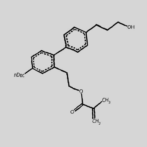 C=C(C)C(=O)OCCc1cc(CCCCCCCCCC)ccc1-c1ccc(CCCO)cc1